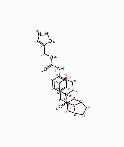 O=C(Nc1ccc(CC2CC3CCC(C2)N3C(=O)N2CCOCC2)cc1)OCc1cnco1